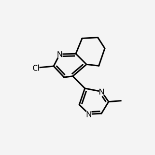 Cc1cncc(-c2cc(Cl)nc3c2CCCC3)n1